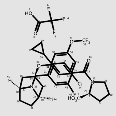 O=C(O)C(F)(F)F.O=C(O)[C@@H]1CCCN1C(=O)c1cc(C2CC2)c(CN2[C@@H]3CC[C@H]2C[C@@H](Oc2cc(Cl)cc(OC(F)(F)F)c2)C3)cc1F